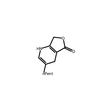 CCCCCC1=CNC2=C(C1)C(=O)OC2